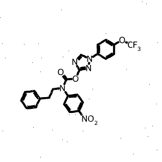 O=C(Oc1ncn(-c2ccc(OC(F)(F)F)cc2)n1)N(CCc1ccccc1)c1ccc([N+](=O)[O-])cc1